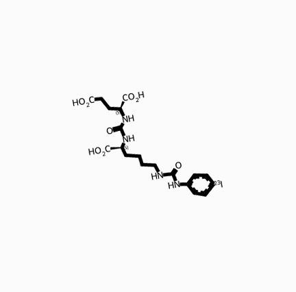 O=C(O)CC[C@H](NC(=O)N[C@@H](CCCCNC(=O)Nc1ccc([123I])cc1)C(=O)O)C(=O)O